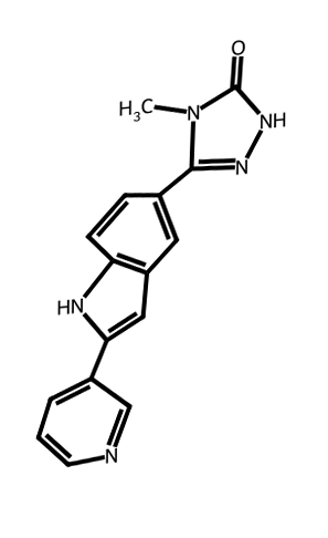 Cn1c(-c2ccc3[nH]c(-c4cccnc4)cc3c2)n[nH]c1=O